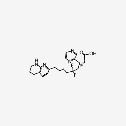 O=C(O)C[C@H](CC(F)(F)CCCCc1ccc2c(n1)NCCC2)c1cnccn1